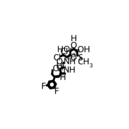 CSC1O[C@H]([C@H](NC(=O)[C@H]2NC[C@@H]3C=C(c4cc(F)cc(F)c4)CCO[C@@H]23)[C@H](C)Cl)C(O)[C@@H](O)[C@H]1O